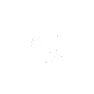 C=C[Si](C)(C)O[Si](O)(CC)O[Si](C)(C)C=C